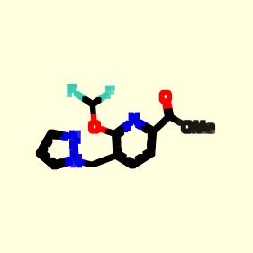 COC(=O)c1ccc(Cn2cccn2)c(OC(F)F)n1